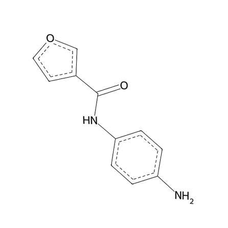 Nc1ccc(NC(=O)c2ccoc2)cc1